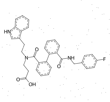 O=C(O)CCN(CCc1c[nH]c2ccccc12)C(=O)c1ccccc1-c1ccccc1C(=O)NCc1ccc(F)cc1